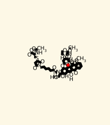 COc1cccc2c1C(=O)c1c(O)c3c(c(O)c1C2=O)C[C@@](O)(C(CO)=NNC(=O)CCCCCN1C(=O)CC(SC[C@H](NC(C)=O)C(=O)O)C1=O)C[C@@H]3O[C@H]1C[C@H]2[C@H](O[C@@H]3[C@@H](OC)OCCN32)[C@H](C)O1